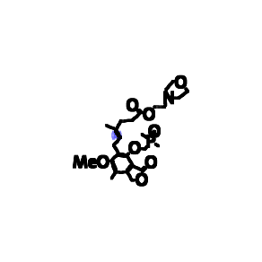 COc1c(C)c2c(c(OCP(C)(C)=O)c1C/C=C(\C)CCC(=O)OCCN1CCOCC1)C(=O)OC2